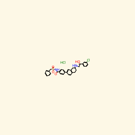 Cl.O=C(NS(=O)(=O)Cc1ccccc1)c1ccc(-c2ccc3c(c2)C[C@@H](NC[C@H](O)c2cccc(Cl)c2)CC3)cc1